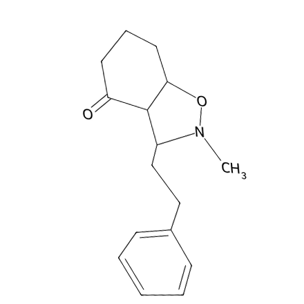 CN1OC2CCCC(=O)C2C1CCc1ccccc1